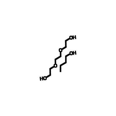 CCCCO.OCCOCCOCCO